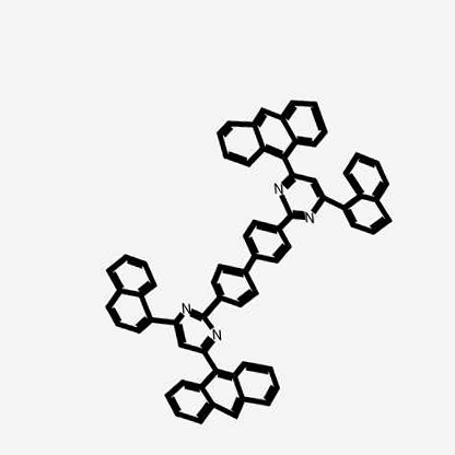 c1ccc2c(-c3cc(-c4c5ccccc5cc5ccccc45)nc(-c4ccc(-c5ccc(-c6nc(-c7cccc8ccccc78)cc(-c7c8ccccc8cc8ccccc78)n6)cc5)cc4)n3)cccc2c1